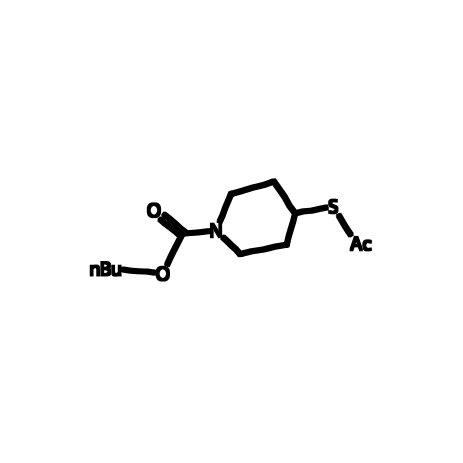 CCCCOC(=O)N1CCC(SC(C)=O)CC1